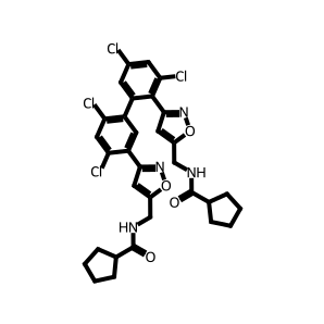 O=C(NCc1cc(-c2cc(-c3cc(Cl)cc(Cl)c3-c3cc(CNC(=O)C4CCCC4)on3)c(Cl)cc2Cl)no1)C1CCCC1